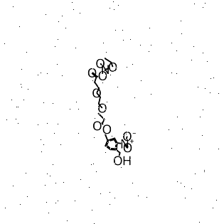 O=C(CCOCCOCCC(=O)ON1OCCO1)OCc1ccc(CO)c([N+](=O)[O-])c1